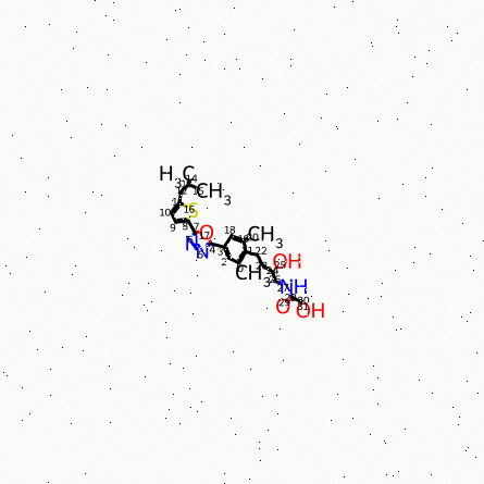 Cc1cc(-c2nnc(-c3ccc(CC(C)C)s3)o2)cc(C)c1CC[C@H](O)CNC(=O)CO